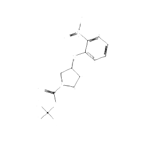 CC(C)(C)OC(=O)N1CCC(Nc2ccccc2[N+](=O)[O-])C1